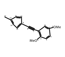 COc1ccc(OC)c(C#Cc2ccc(C)cc2)c1